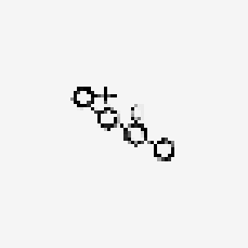 CC1(C)c2ccccc2-c2ccc(-c3ccc(-c4ccccc4)cc3Cl)cc21